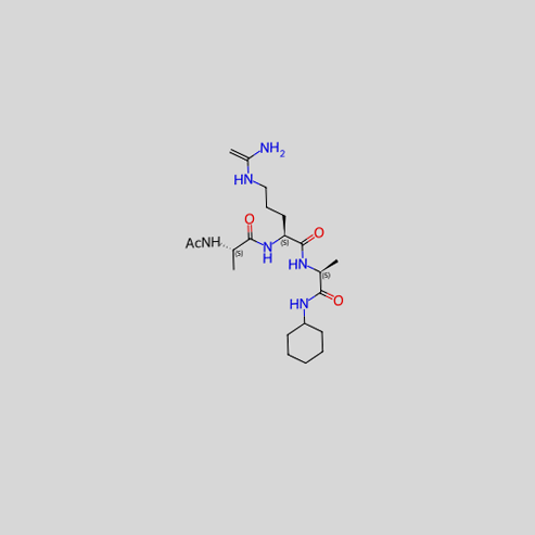 C=C(N)NCCC[C@H](NC(=O)[C@H](C)NC(C)=O)C(=O)N[C@@H](C)C(=O)NC1CCCCC1